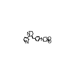 O=S1(=O)CCN(c2ccc(C=C3CCCN=C3c3cccnc3)cc2)CC1